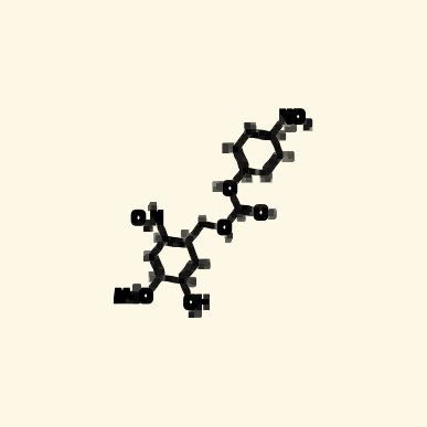 COc1cc([N+](=O)[O-])c(COC(=O)Oc2ccc([N+](=O)[O-])cc2)cc1O